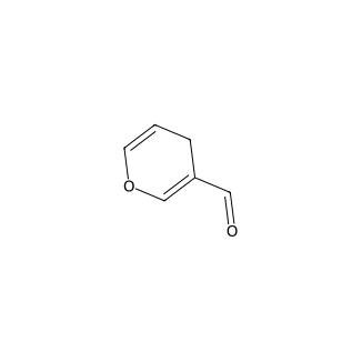 O=CC1=COC=CC1